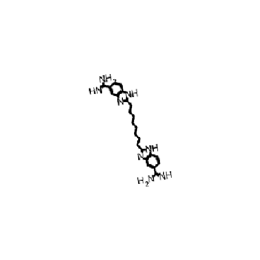 N=C(N)c1ccc2[nH]c(CCCCCCCCc3nc4cc(C(=N)N)ccc4[nH]3)nc2c1